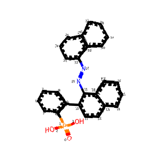 O=P(O)(O)c1ccccc1-c1ccc2ccccc2c1N=Nc1cccc2ccccc12